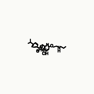 CCCNCCOc1ccc(NS(=O)(=O)c2ccc(C(C)C)cc2)c(C)n1.Cl